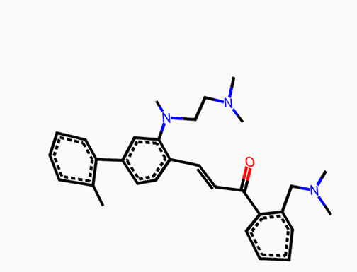 Cc1ccccc1-c1ccc(C=CC(=O)c2ccccc2CN(C)C)c(N(C)CCN(C)C)c1